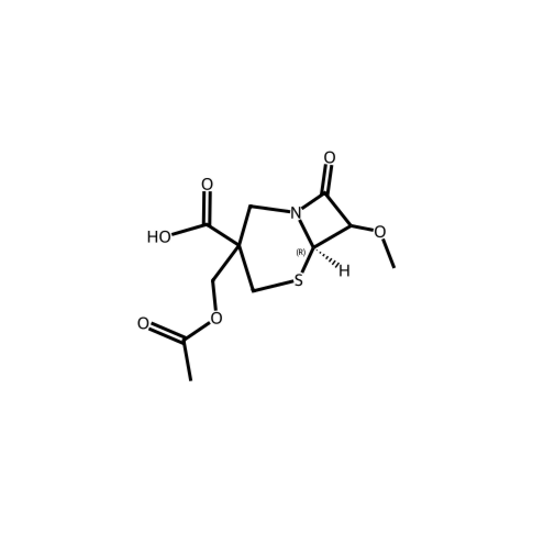 COC1C(=O)N2CC(COC(C)=O)(C(=O)O)CS[C@H]12